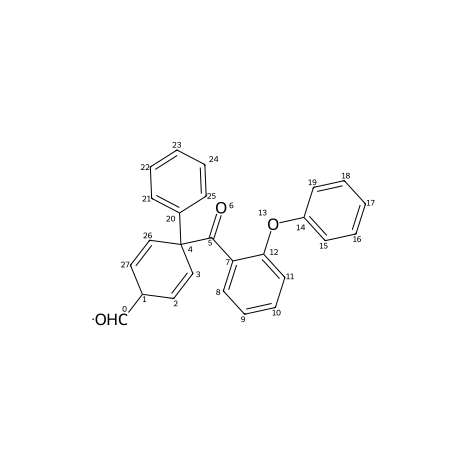 O=[C]C1C=CC(C(=O)c2ccccc2Oc2ccccc2)(c2ccccc2)C=C1